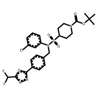 CC(C)(C)OC(=O)N1CCC(S(=O)(=O)N(Cc2ccc(-c3nnc(C(F)F)o3)cc2)c2cccc(Cl)c2)CC1